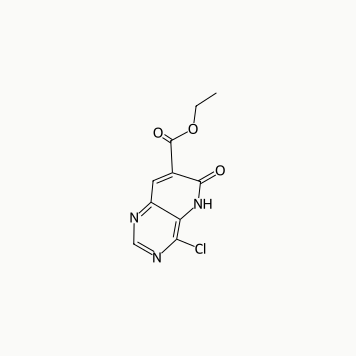 CCOC(=O)c1cc2ncnc(Cl)c2[nH]c1=O